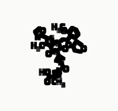 COc1ccccc1C(Cn1c2c(c(=O)n(C3CN(C(=O)N4CC(C)(C(=O)O)C4)C3)c1=O)C(C)C(c1ncco1)S2)OC1CCOCC1